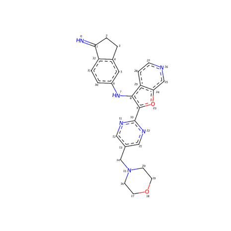 N=C1CCc2cc(Nc3c(-c4ncc(CN5CCOCC5)cn4)oc4cnccc34)ccc21